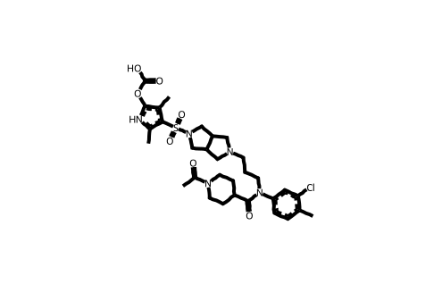 CC(=O)N1CCC(C(=O)N(CCCN2CC3CN(S(=O)(=O)c4c(C)[nH]c(OC(=O)O)c4C)CC3C2)c2ccc(C)c(Cl)c2)CC1